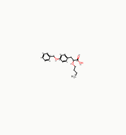 CCCCOC(Cc1ccc(OCc2ccccc2)cc1)C(=O)O